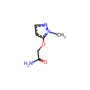 Cn1nccc1OCC(N)=O